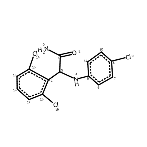 NC(=O)C(Nc1ccc(Cl)cc1)c1c(Cl)cccc1Cl